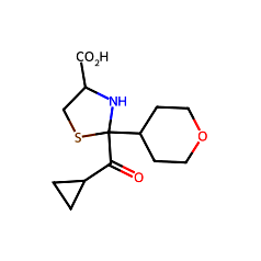 O=C(O)C1CSC(C(=O)C2CC2)(C2CCOCC2)N1